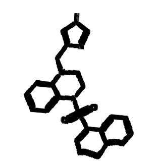 O=S(=O)(c1cccc2ccccc12)N1CCN(Cc2c[nH]cn2)c2ccccc21